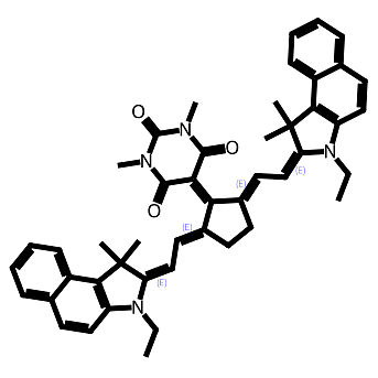 CCN1/C(=C/C=C2\CC/C(=C\C=C3\N(CC)c4ccc5ccccc5c4C3(C)C)C2=C2C(=O)N(C)C(=O)N(C)C2=O)C(C)(C)c2c1ccc1ccccc21